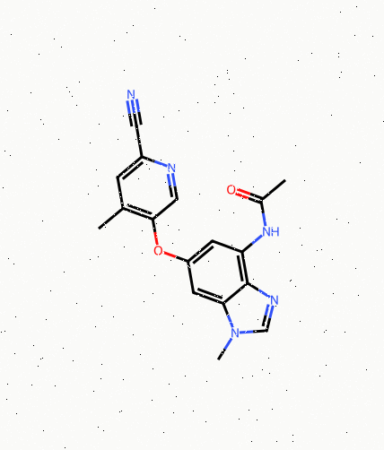 CC(=O)Nc1cc(Oc2cnc(C#N)cc2C)cc2c1ncn2C